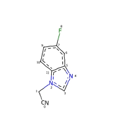 N#CCn1cnc2cc(F)ccc21